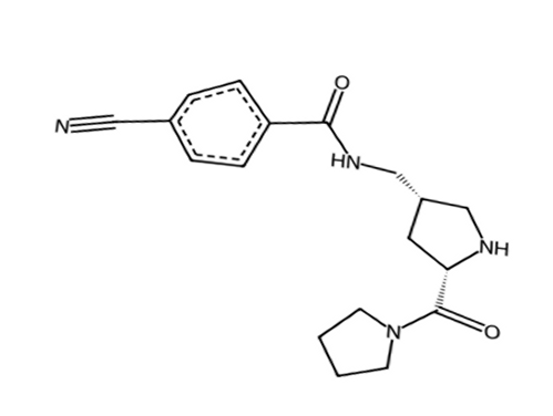 N#Cc1ccc(C(=O)NC[C@@H]2CN[C@H](C(=O)N3CCCC3)C2)cc1